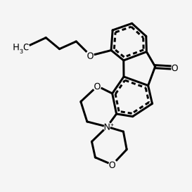 CCCCOc1cccc2c1-c1c(ccc3c1OCC[N+]31CCOCC1)C2=O